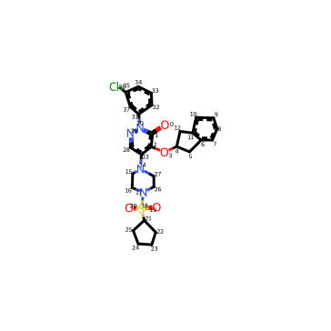 O=c1c(OC2Cc3ccccc3C2)c(N2CCN(S(=O)(=O)C3CCCC3)CC2)cnn1-c1cccc(Cl)c1